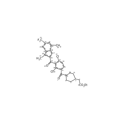 CCOC(=O)CC1CCN(C(=O)c2ccc(Cl)c(C(=O)c3cc4c(C)cc(C(F)(F)F)nc4n3C)c2Cl)CC1